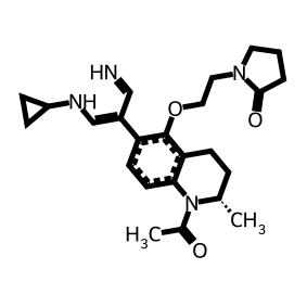 CC(=O)N1c2ccc(/C(C=N)=C/NC3CC3)c(OCCN3CCCC3=O)c2CC[C@@H]1C